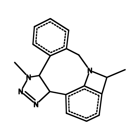 CC1c2cccc3c2N1Cc1ccccc1C1C3N=NN1C